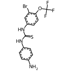 Nc1ccc(NC(=S)Nc2ccc(OC(F)(F)F)c(Br)c2)cc1